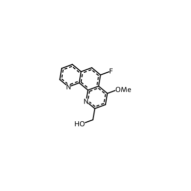 COc1cc(CO)nc2c1c(F)cc1cccnc12